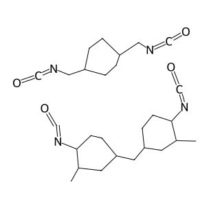 CC1CC(CC2CCC(N=C=O)C(C)C2)CCC1N=C=O.O=C=NCC1CCC(CN=C=O)CC1